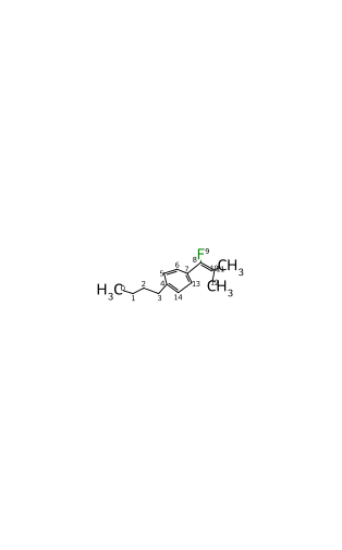 CCCCc1ccc(C(F)=C(C)C)cc1